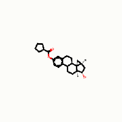 C[C@]12CCC3c4ccc(OC(=O)C5CCCC5)cc4CCC3[C@@]13C[C@H]3C[C@@H]2O